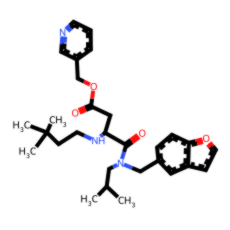 CC(C)CN(Cc1ccc2occc2c1)C(=O)C(CC(=O)OCc1cccnc1)NCCC(C)(C)C